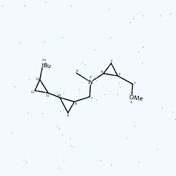 COCC1CC1N(C)CC1CC1C1CC1C(C)(C)C